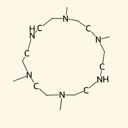 CN1CCNCCN(C)CCN(C)CCNCCN(C)CC1